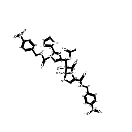 CC(=O)OC(c1cn(C(=O)OCc2ccc([N+](=O)[O-])cc2)c(-c2nccs2)n1)[C@]1(Br)C(=O)N2C(C(=O)OCc3ccc([N+](=O)[O-])cc3)=CS[C@H]21